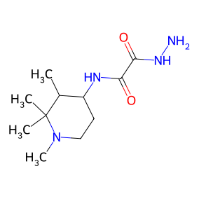 CC1C(NC(=O)C(=O)NN)CCN(C)C1(C)C